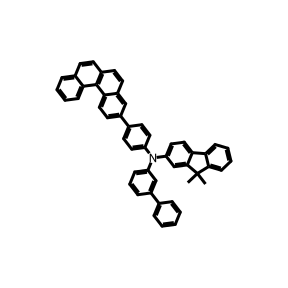 CC1(C)c2ccccc2-c2ccc(N(c3ccc(-c4ccc5c(ccc6ccc7ccccc7c65)c4)cc3)c3cccc(-c4ccccc4)c3)cc21